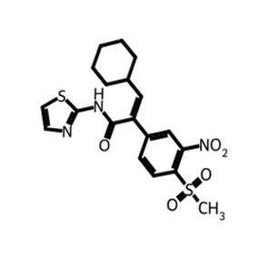 CS(=O)(=O)c1ccc(C(=CC2CCCCC2)C(=O)Nc2nccs2)cc1[N+](=O)[O-]